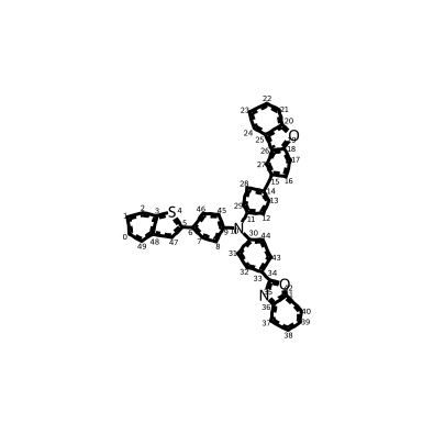 c1ccc2sc(-c3ccc(N(c4ccc(-c5ccc6oc7ccccc7c6c5)cc4)c4ccc(-c5nc6ccccc6o5)cc4)cc3)cc2c1